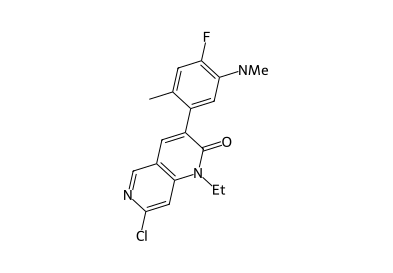 CCn1c(=O)c(-c2cc(NC)c(F)cc2C)cc2cnc(Cl)cc21